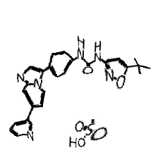 CC(C)(C)c1cc(NC(=O)Nc2ccc(-c3cnc4cc(-c5cccnc5)ccn34)cc2)no1.CS(=O)(=O)O